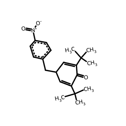 CC(C)(C)C1=CC(Cc2ccc([N+](=O)[O-])cc2)C=C(C(C)(C)C)C1=O